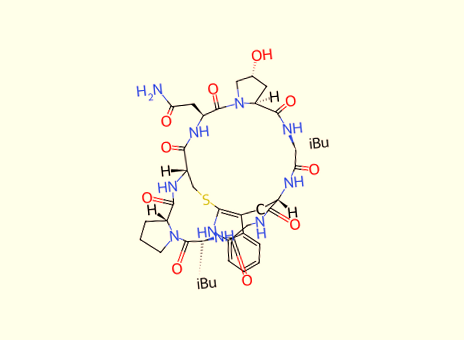 CC[C@H](C)[C@@H]1NC(=O)[C@@H]2C[C@@H](O)CN2C(=O)[C@H](CC(N)=O)NC(=O)[C@@H]2CSc3[nH]c4ccccc4c3C[C@H](NC1=O)C(=O)NCC(=O)N[C@@H]([C@@H](C)CC)C(=O)N1CCC[C@@H]1C(=O)N2